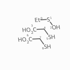 CCSO.O=C(O)CS.O=C(O)CS